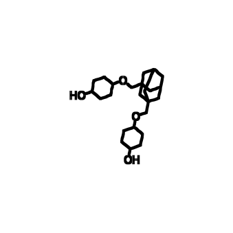 OC1CCC(OCC23CC4CC(C2)CC(COC2CCC(O)CC2)(C4)C3)CC1